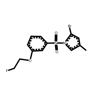 [CH2]c1cc(Br)n(S(=O)(=O)c2cccc(OCCF)c2)c1